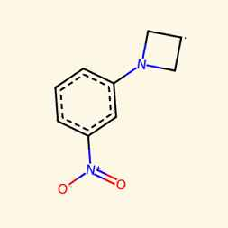 O=[N+]([O-])c1cccc(N2C[CH]C2)c1